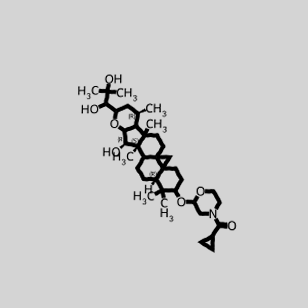 C[C@@H]1CC(C(O)C(C)(C)O)OC2C1C1(C)CCC34CC35CCC(OC3CN(C(=O)C6CC6)CCO3)C(C)(C)[C@@H]5CCC4[C@]1(C)[C@H]2O